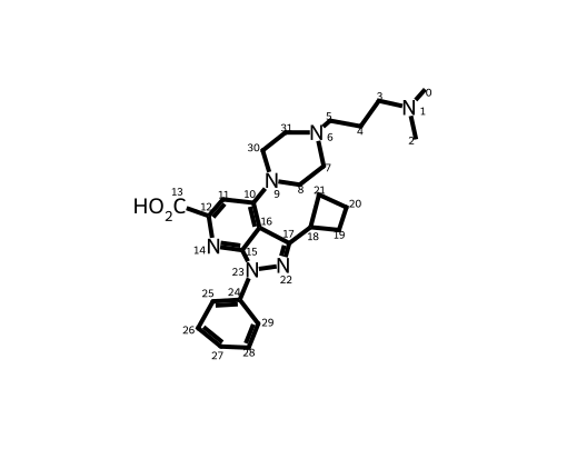 CN(C)CCCN1CCN(c2cc(C(=O)O)nc3c2c(C2CCC2)nn3-c2ccccc2)CC1